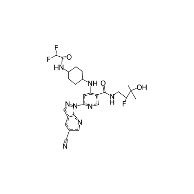 CC(C)(O)C(F)CNC(=O)c1cnc(-n2ncc3cc(C#N)cnc32)cc1NC1CCC(NC(=O)C(F)F)CC1